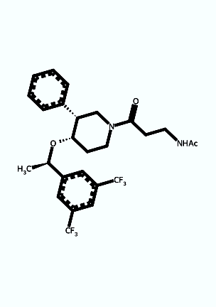 CC(=O)NCCC(=O)N1CC[C@H](O[C@H](C)c2cc(C(F)(F)F)cc(C(F)(F)F)c2)[C@H](c2ccccc2)C1